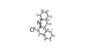 Clc1cc2ccccc2c2cc3ccccc3nc12